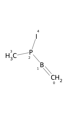 C=BP(C)I